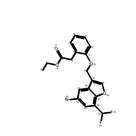 CCOC(=O)Cc1ccccc1OCc1coc2c(C(F)F)cc(Br)cc12